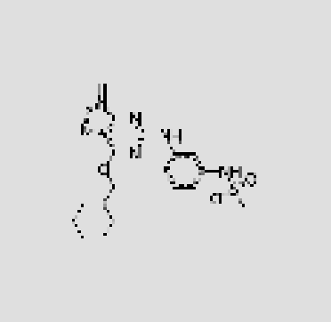 CS(=O)(=O)Nc1cccc(Nc2nc(OCC3CCCCC3)c3nc[nH]c3n2)c1